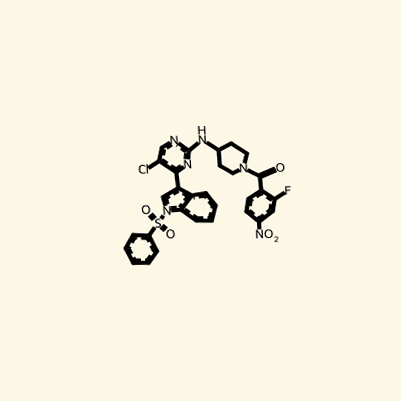 O=C(c1ccc([N+](=O)[O-])cc1F)N1CCC(Nc2ncc(Cl)c(-c3cn(S(=O)(=O)c4ccccc4)c4ccccc34)n2)CC1